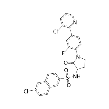 O=C1C(NS(=O)(=O)c2ccc3cc(Cl)ccc3c2)CCN1c1ccc(-c2ncccc2Cl)cc1F